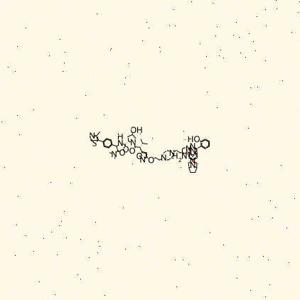 Cc1ncsc1-c1ccc([C@@H](NC(=O)[C@@H]2C[C@@H](O)CN2C(=O)[C@@H](c2cc(OCCN3CCN(CCOc4cc(N5C6CCC5CN(c5cc(-c7ccccc7O)nnc5N)C6)ccn4)CC3)no2)C(C)C)C(=O)N(C)C)cc1